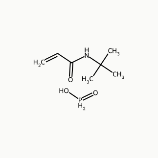 C=CC(=O)NC(C)(C)C.O=[PH2]O